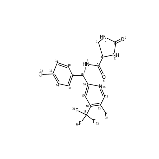 O=C1NCC(C(=O)N[C@@H](c2ccc(Cl)cc2)c2cc(C(F)(F)F)c(F)cn2)N1